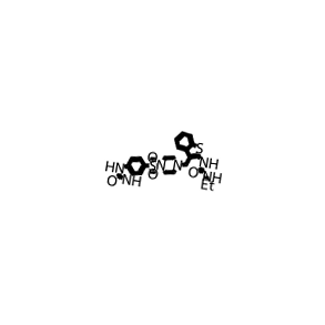 CCNC(=O)Nc1sc2ccccc2c1CN1CCN(S(=O)(=O)c2ccc3[nH]c(=O)[nH]c3c2)CC1